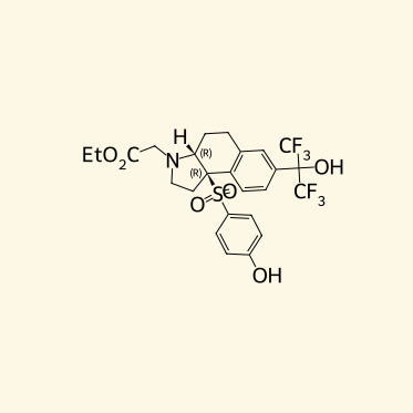 CCOC(=O)CN1CC[C@@]2(S(=O)(=O)c3ccc(O)cc3)c3ccc(C(O)(C(F)(F)F)C(F)(F)F)cc3CC[C@@H]12